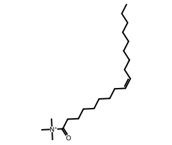 CCCCCCCC/C=C\CCCCCCCC(=O)[N+](C)(C)C